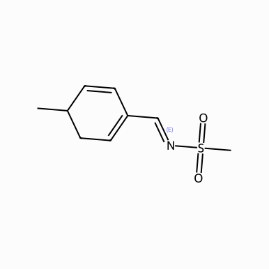 CC1C=CC(/C=N/S(C)(=O)=O)=CC1